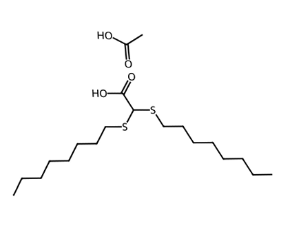 CC(=O)O.CCCCCCCCSC(SCCCCCCCC)C(=O)O